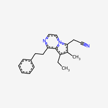 CCc1c(C)c(CC#N)n2ccnc(CCc3ccccc3)c12